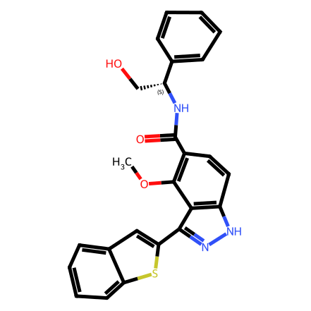 COc1c(C(=O)N[C@H](CO)c2ccccc2)ccc2[nH]nc(-c3cc4ccccc4s3)c12